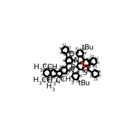 CC(C)(C)c1ccc(N2B3c4cc5sc(-c6ccccc6)c(-c6ccccc6)c5cc4N(c4ccc(C(C)(C)C)cc4-c4ccccc4)c4c3c(cc3c4oc4ccccc43)-c3cc4c(cc32)C(C)(C)c2cc3c(cc2-4)C(C)(C)CCC3(C)C)cc1